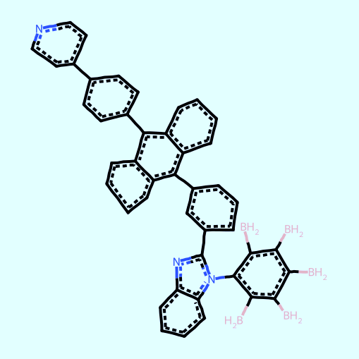 Bc1c(B)c(B)c(-n2c(-c3cccc(-c4c5ccccc5c(-c5ccc(-c6ccncc6)cc5)c5ccccc45)c3)nc3ccccc32)c(B)c1B